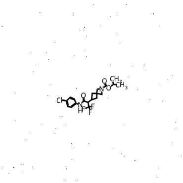 CC(C)OC(=O)N1CC2(CC(C(C(=O)Nc3ccc(Cl)cc3)C(F)(F)F)C2)C1